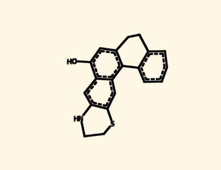 Oc1cc2c(c3cc4c(cc13)NCCS4)-c1ccccc1CC2